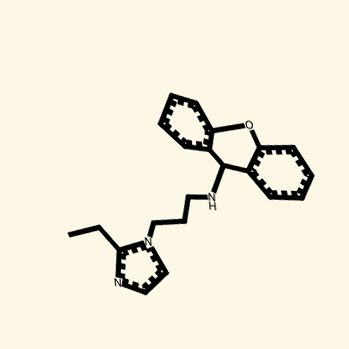 CCc1nccn1CCCNC1c2ccccc2Oc2ccccc21